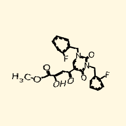 COC(=O)/C(O)=C/C(=O)c1cn(Cc2ccccc2F)c(=O)n(Cc2ccccc2F)c1=O